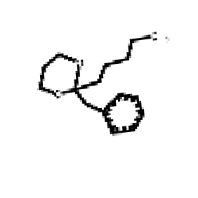 CCCCCC1(Cc2ccccc2)OCCCO1